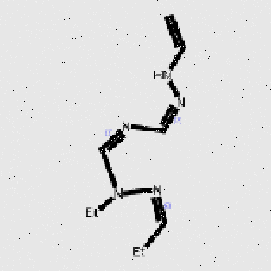 C=CN/N=C\N=C/N(CC)/N=C\CC